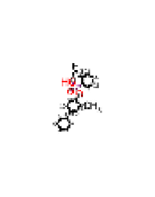 Cc1cc(-c2ccccc2)ccc1OP(=O)(O)c1ccccc1C